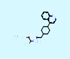 COC(=O)C(NC(=O)CC1CCC(c2ccnc3ccccc23)CC1)C(C)C